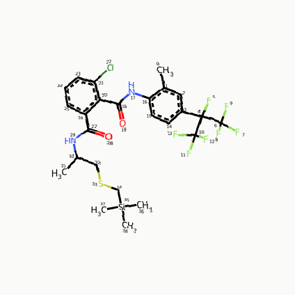 Cc1cc(C(F)(C(F)(F)F)C(F)(F)F)ccc1NC(=O)c1c(Cl)cccc1C(=O)NC(C)CSC[Si](C)(C)C